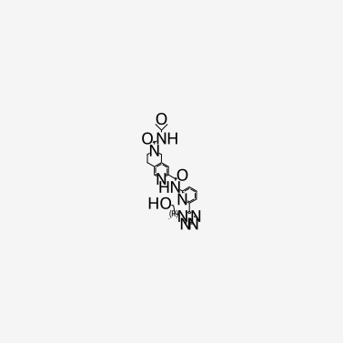 C[C@H](CO)n1nnnc1-c1cccc(NC(=O)c2cc3c(cn2)CCN(C(=O)NC2COC2)C3)n1